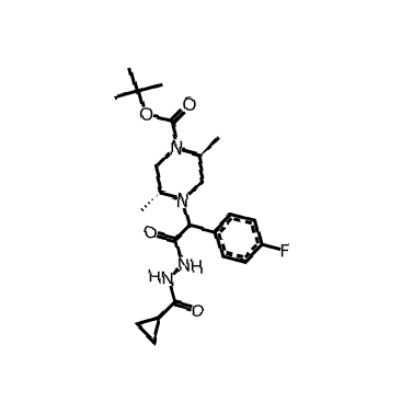 C[C@@H]1CN(C(=O)OC(C)(C)C)[C@@H](C)CN1C(C(=O)NNC(=O)C1CC1)c1ccc(F)cc1